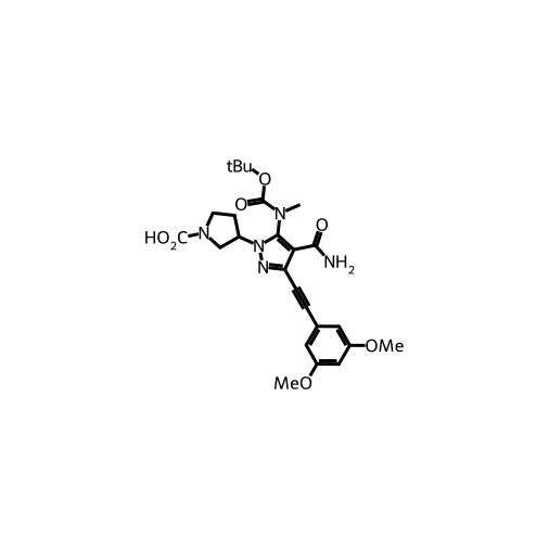 COc1cc(C#Cc2nn(C3CCN(C(=O)O)C3)c(N(C)C(=O)OC(C)(C)C)c2C(N)=O)cc(OC)c1